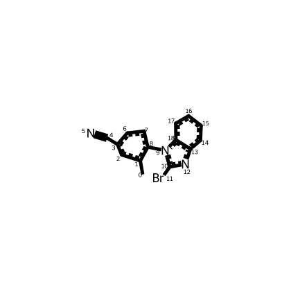 Cc1cc(C#N)ccc1-n1c(Br)nc2ccccc21